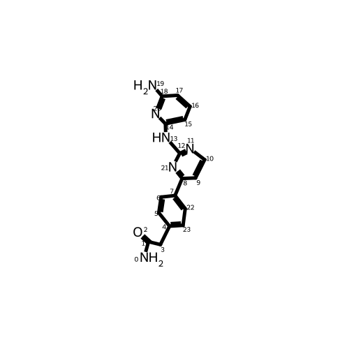 NC(=O)Cc1ccc(-c2ccnc(Nc3cccc(N)n3)n2)cc1